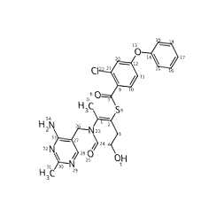 CC(=C(CCO)SC(=O)c1ccc(Oc2ccccc2)cc1Cl)N(C=O)Cc1cnc(C)nc1N